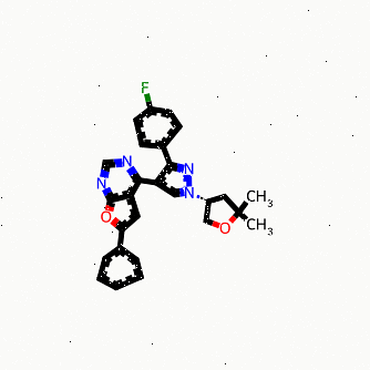 CC1(C)C[C@@H](n2cc(-c3ncnc4oc(-c5ccccc5)cc34)c(-c3ccc(F)cc3)n2)CO1